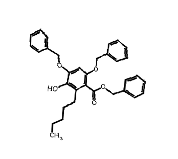 CCCCCc1c(O)c(OCc2ccccc2)cc(OCc2ccccc2)c1C(=O)OCc1ccccc1